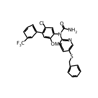 COc1cc(-c2cccc(C(F)(F)F)c2)c(Cl)cc1N(C(N)=O)c1ccc(SCc2ccccc2)cn1